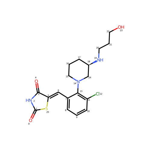 O=C1NC(=O)C(=Cc2cccc(Cl)c2N2CCC[C@@H](NCCCO)C2)S1